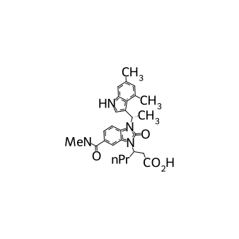 CCCC(CC(=O)O)n1c(=O)n([C@@H](C)c2c[nH]c3cc(C)cc(C)c23)c2ccc(C(=O)NC)cc21